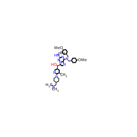 CCCCNc1nc(N(Cc2ccc(OC)cc2)Cc2ccc(OC)cc2)c2ncc(C(O)c3cnc(N4CCC(CN(C)C)CC4)c(C)c3)n2n1